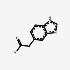 CCCC(=O)Cc1ccc2[nH]nnc2c1